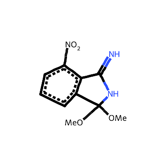 COC1(OC)NC(=N)c2c([N+](=O)[O-])cccc21